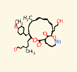 COC1CCC(C[C@H]2CC[C@H](C)/C=C/C=C/C=C/CC[C@@]3(CCCCO)ONCCCCC(C(=O)OC2CC[C@H](C)CCC=O)C3=O)CC1